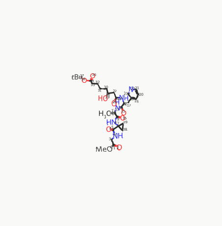 COC(=O)CNC(=O)C1(NC(=O)[C@@H](C)NC(=O)[C@@H](Cc2cccnc2)NC(=O)C[C@H](O)CCCCC(=O)OC(C)(C)C)CC1